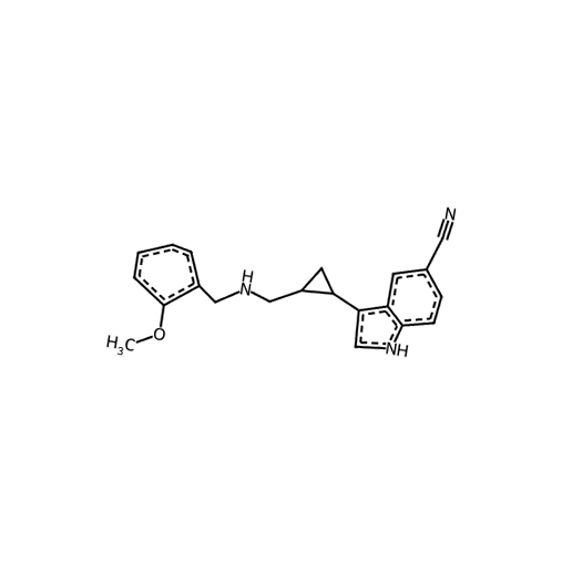 COc1ccccc1CNCC1CC1c1c[nH]c2ccc(C#N)cc12